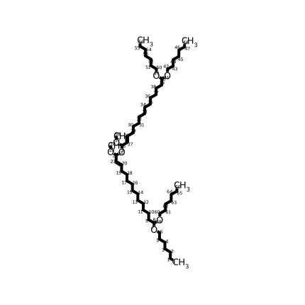 CCCCCCCOC(CCCCCCCCCCCC=CC(OC)OC(C=CCCCCCCCCCCCC(OCCCCCCC)OCCCCCCC)OC)OCCCCCCC